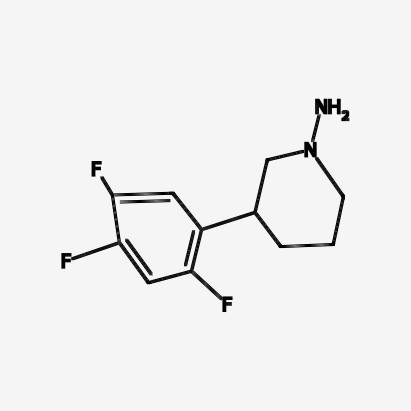 NN1CCCC(c2cc(F)c(F)cc2F)C1